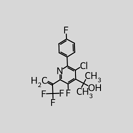 C=C(c1nc(-c2ccc(F)cc2)c(Cl)c(C(C)(C)O)c1F)C(F)(F)F